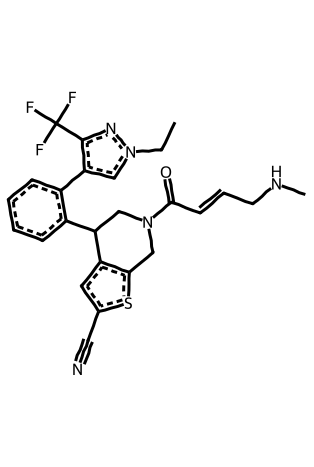 CCn1cc(-c2ccccc2C2CN(C(=O)/C=C/CNC)Cc3sc(C#N)cc32)c(C(F)(F)F)n1